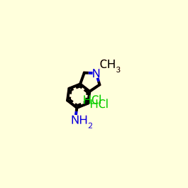 CN1Cc2ccc(N)cc2C1.Cl.Cl